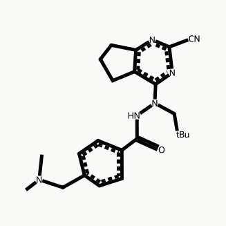 CN(C)Cc1ccc(C(=O)NN(CC(C)(C)C)c2nc(C#N)nc3c2CCC3)cc1